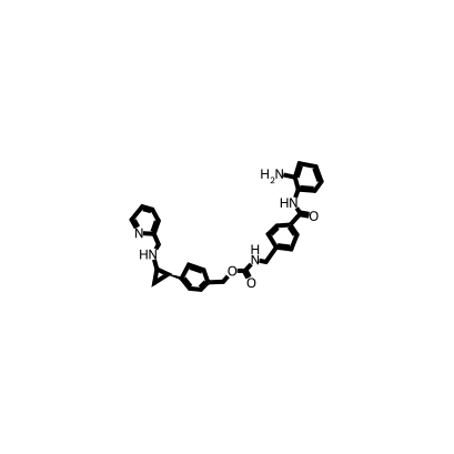 Nc1ccccc1NC(=O)c1ccc(CNC(=O)OCc2ccc([C@H]3CC3NCc3ccccn3)cc2)cc1